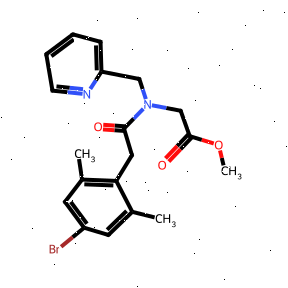 COC(=O)CN(Cc1ccccn1)C(=O)Cc1c(C)cc(Br)cc1C